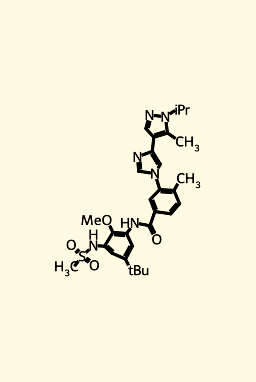 COc1c(NC(=O)c2ccc(C)c(-n3cnc(-c4cnn(C(C)C)c4C)c3)c2)cc(C(C)(C)C)cc1NS(C)(=O)=O